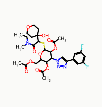 CCN(C)C(=O)C(SC1OC(COC(C)=O)C(OC(C)=O)C(n2cc(-c3cc(F)cc(F)c3)nn2)C1OC(C)=O)C1(O)CCOCC1